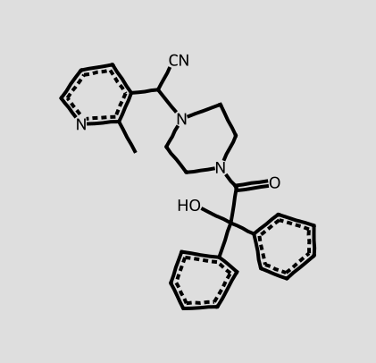 Cc1ncccc1C(C#N)N1CCN(C(=O)C(O)(c2ccccc2)c2ccccc2)CC1